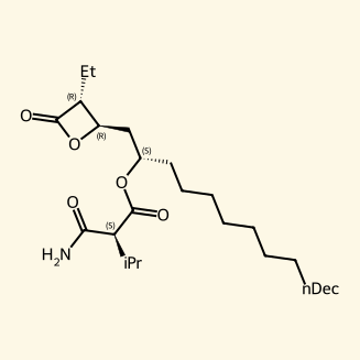 CCCCCCCCCCCCCCCCC[C@@H](C[C@H]1OC(=O)[C@@H]1CC)OC(=O)[C@H](C(N)=O)C(C)C